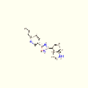 CCCc1ccc(-c2nc(-c3cccc4[nH]ccc34)no2)cn1